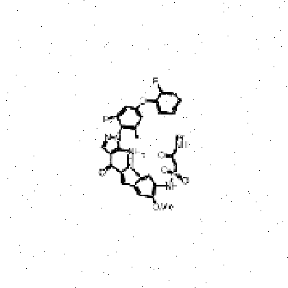 COc1cc2cc(C(=O)c3cnn(-c4c(C)cc(Oc5ccccc5F)cc4F)c3N)[nH]c2cc1NS(=O)(=O)CC(=O)NC(C)C